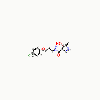 C=C1C(O)=C(C(=O)NCCCOc2ccc(Cl)cc2)CN1C